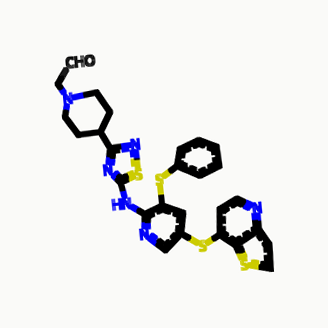 O=CCN1CCC(c2nsc(Nc3ncc(Sc4ccnc5ccsc45)cc3Sc3ccccc3)n2)CC1